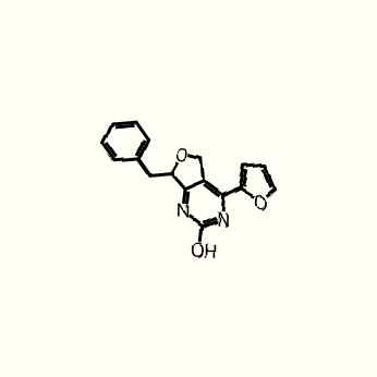 Oc1nc(-c2ccco2)c2c(n1)C(Cc1ccccc1)OC2